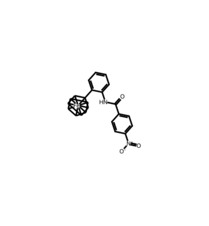 O=C(Nc1ccccc1[C]12[CH]3[CH]4[CH]5[CH]1[Fe]45321678[CH]2[CH]1[CH]6[CH]7[CH]28)c1ccc([N+](=O)[O-])cc1